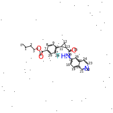 CCCCOC(=O)c1ccc(C2CC2C(=O)Nc2ccc3cnccc3c2)c(F)c1